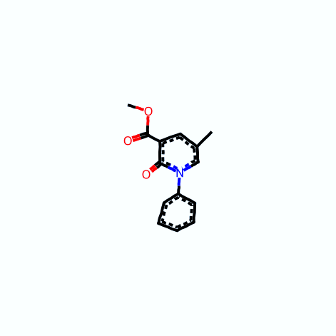 COC(=O)c1cc(C)cn(-c2ccccc2)c1=O